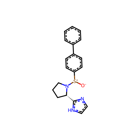 [O-][S+](c1ccc(-c2ccccc2)cc1)N1CCC[C@H]1c1ncc[nH]1